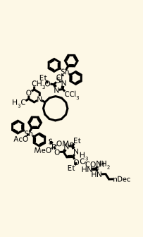 CC(=O)O.CC(=O)[O][Sn]([c]1ccccc1)([c]1ccccc1)[c]1ccccc1.CC1CN(C2CCCCCCCCCCC2)CC(C)O1.CCCCCCCCCCCCNC(=N)N.CCOc1cc(OP(=S)(OC)OC)nc(CC)n1.CCOc1nc(C(Cl)(Cl)Cl)ns1.[Cl][Sn]([c]1ccccc1)([c]1ccccc1)[c]1ccccc1